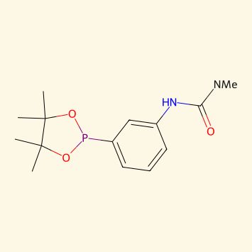 CNC(=O)Nc1cccc(P2OC(C)(C)C(C)(C)O2)c1